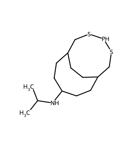 CC(C)NC1CCC2CCC(CC1)CSPSC2